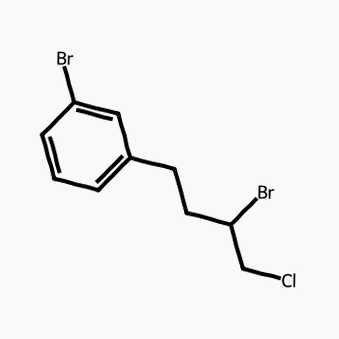 ClCC(Br)CCc1cccc(Br)c1